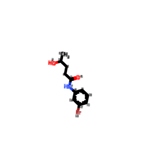 CC(O)CCC(=O)Nc1cccc(Br)c1